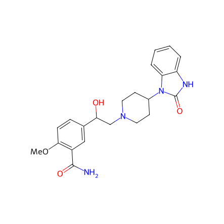 COc1ccc(C(O)CN2CCC(n3c(=O)[nH]c4ccccc43)CC2)cc1C(N)=O